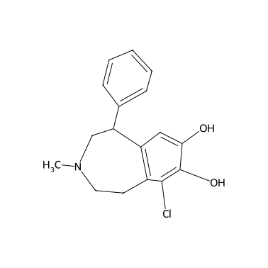 CN1CCc2c(cc(O)c(O)c2Cl)C(c2ccccc2)C1